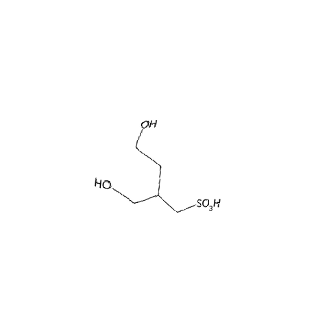 O=S(=O)(O)CC(CO)CCO